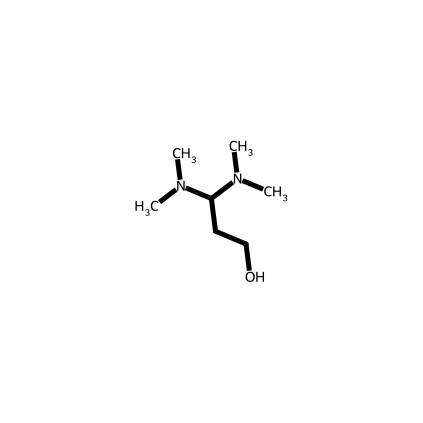 CN(C)C(CCO)N(C)C